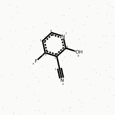 N#Cc1c(F)ccnc1O